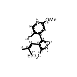 CCOC(=O)c1noc(-c2cc(OC)ncc2F)c1C=C(C)C